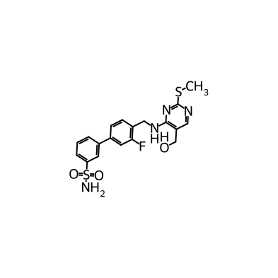 CSc1ncc(CO)c(NCc2ccc(-c3cccc(S(N)(=O)=O)c3)cc2F)n1